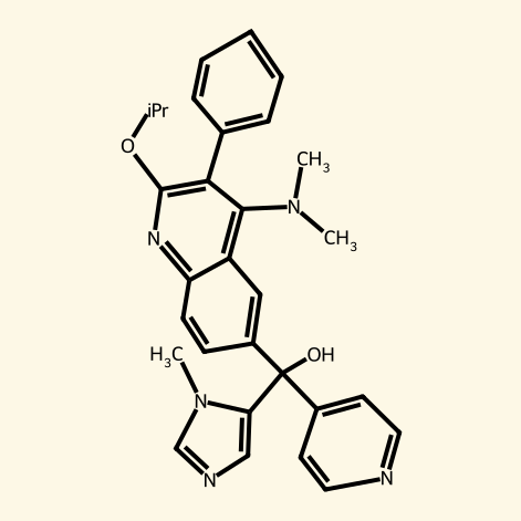 CC(C)Oc1nc2ccc(C(O)(c3ccncc3)c3cncn3C)cc2c(N(C)C)c1-c1ccccc1